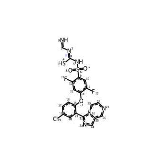 N=C/N=C(\S)NS(=O)(=O)c1cc(F)c(Oc2ccc(Cl)cc2-c2ncc3cnccn23)cc1F